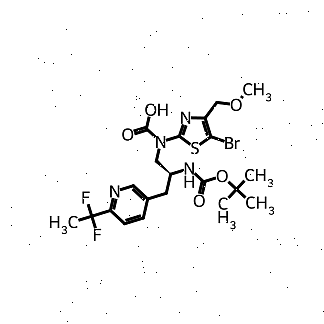 COCc1nc(N(C[C@H](Cc2ccc(C(C)(F)F)nc2)NC(=O)OC(C)(C)C)C(=O)O)sc1Br